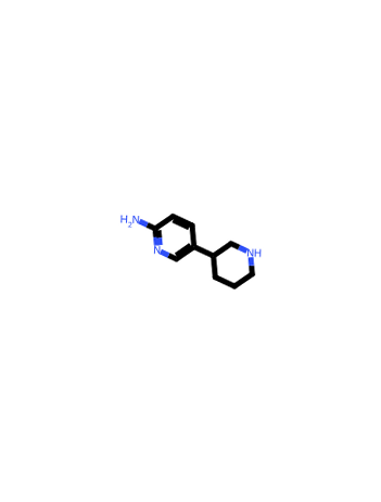 Nc1ccc(C2CCCNC2)cn1